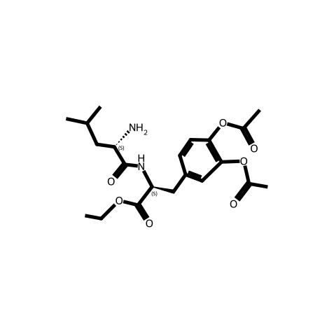 CCOC(=O)[C@H](Cc1ccc(OC(C)=O)c(OC(C)=O)c1)NC(=O)[C@@H](N)CC(C)C